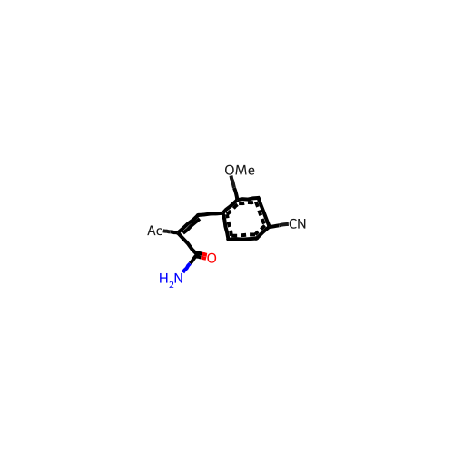 COc1cc(C#N)ccc1C=C(C(C)=O)C(N)=O